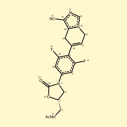 CC(=O)NC[C@H]1CN(c2cc(F)c(C3=CCn4cnc(C#N)c4C3)c(F)c2)C(=O)O1